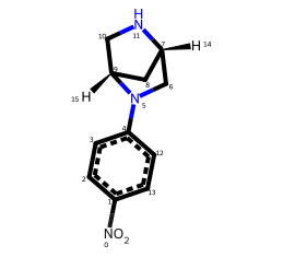 O=[N+]([O-])c1ccc(N2C[C@@H]3C[C@H]2CN3)cc1